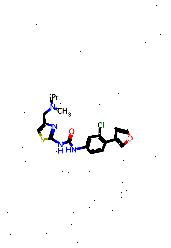 CC(C)N(C)Cc1csc(NC(=O)Nc2ccc(-c3ccoc3)c(Cl)c2)n1